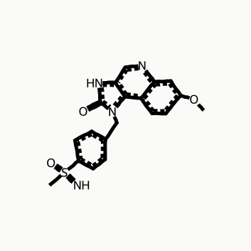 COc1ccc2c(c1)ncc1[nH]c(=O)n(Cc3ccc(S(C)(=N)=O)cc3)c12